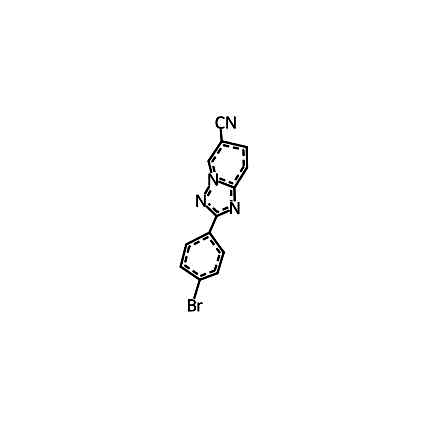 N#Cc1ccc2nc(-c3ccc(Br)cc3)nn2c1